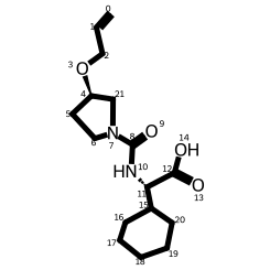 C=CCO[C@@H]1CCN(C(=O)N[C@H](C(=O)O)C2CCCCC2)C1